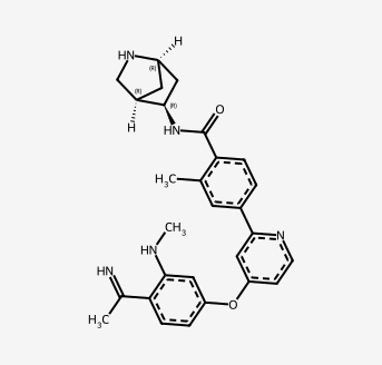 CNc1cc(Oc2ccnc(-c3ccc(C(=O)N[C@@H]4C[C@H]5C[C@@H]4CN5)c(C)c3)c2)ccc1C(C)=N